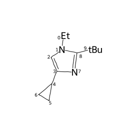 CCn1cc(C2CC2)nc1C(C)(C)C